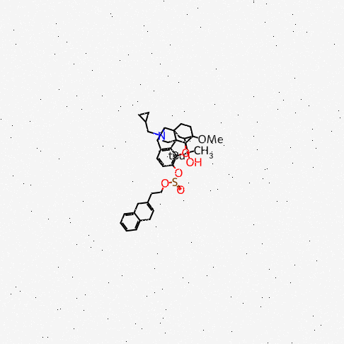 COC12CCC3(CC1C(C)(O)C(C)(C)C)C1Cc4ccc(OS(=O)OCCC5=CCc6ccccc6C5)c5c4C3(CCN1CC1CC1)C2O5